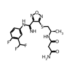 C[C@H](CSc1nonc1C(=N)Nc1ccc(F)c(C(F)F)c1)NC(=O)CC(N)=O